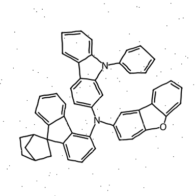 c1ccc(-n2c3ccccc3c3ccc(N(c4ccc5oc6ccccc6c5c4)c4cccc5c4-c4ccccc4C54CC5CCC4C5)cc32)cc1